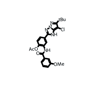 COc1cccc(C(=O)Nc2cc(-c3nn4nc(C(C)(C)C)c(Cl)c4[nH]3)ccc2OC(C)=O)c1